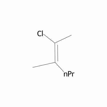 CCC/C(C)=C(\C)Cl